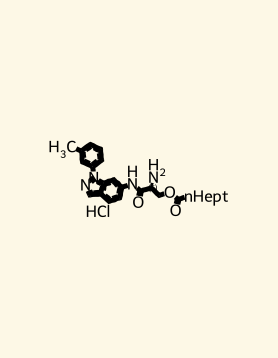 CCCCCCCC(=O)OC[C@H](N)C(=O)Nc1ccc2cnn(-c3cccc(C)c3)c2c1.Cl